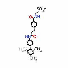 Cc1cc(C)c(-c2ccc(NC(=O)CCc3ccc(C(=O)NCCS(=O)(=O)O)cc3)cc2)c(C)c1